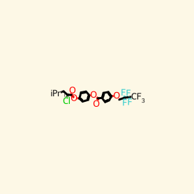 CC(C)C[C@H](Cl)C(=O)Oc1ccc(OC(=O)c2ccc(OCC(F)(F)C(F)(F)C(F)(F)F)cc2)cc1